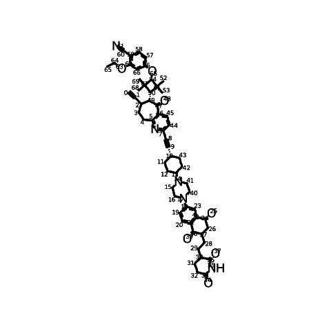 C#CC1CCc2nc(C#C[C@H]3CC[C@H](N4CCN(c5ccc6c(c5)C(=O)CC(CCC5CCC(=O)NC5=O)C6=O)CC4)CC3)ccc2C(=O)C1[C@H]1C(C)(C)[C@H](Oc2ccc(C#N)c(OCC)c2)C1(C)C